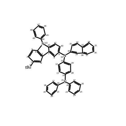 CC(C)(C)c1ccc2c(c1)c1cc(N(c3ccc(N(c4ccccc4)c4ccccc4)cc3)c3ccc4ccccc4c3)ccc1n2-c1ccccc1